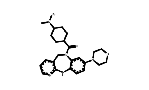 CC(C)N(C)C1CCC(C(=O)N2Cc3cccnc3Nc3ccc(N4CCOCC4)cc32)CC1